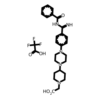 N=C(NC(=O)c1ccccc1)c1ccc(N2CCN(C3CCN(CC(=O)O)CC3)CC2)cc1.O=C(O)C(F)(F)F